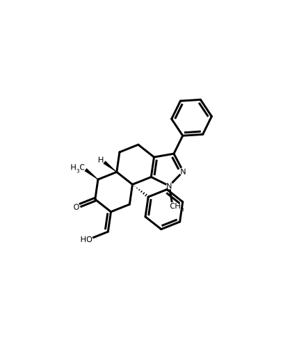 C[C@@H]1C(=O)/C(=C\O)C[C@]2(c3ccccc3)c3c(c(-c4ccccc4)nn3C)CC[C@@H]12